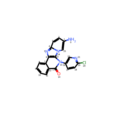 Nc1ccc2nc3c4ccccc4c(=O)n(-c4ccc(Cl)nc4)c3n2c1